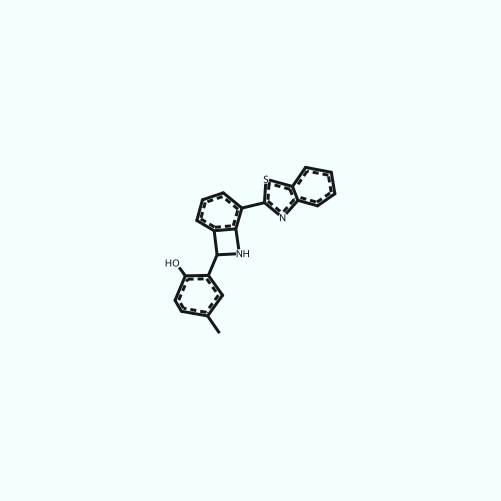 Cc1ccc(O)c(C2Nc3c(-c4nc5ccccc5s4)cccc32)c1